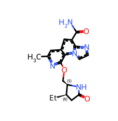 CC[C@@H]1CC(=O)N[C@@H]1COc1nc(C)cc2cc(C(N)=O)c3nccn3c12